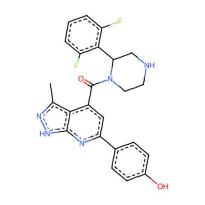 Cc1n[nH]c2nc(-c3ccc(O)cc3)cc(C(=O)N3CCNCC3c3c(F)cccc3F)c12